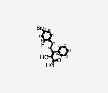 O=C(O)/C(O)=C(/CCc1ccc(Br)cc1F)c1ccccc1